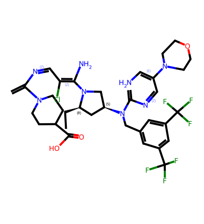 C=C(/N=C\C(Cl)=C(/N)N1C[C@@H](N(Cc2cc(C(F)(F)F)cc(C(F)(F)F)c2)C(=C)/N=C\C(=C/N)N2CCOCC2)C[C@H]1CC)N1CCC(C(=O)O)CC1